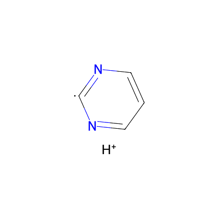 [H+].[c]1ncccn1